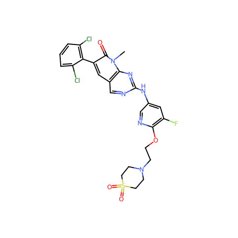 Cn1c(=O)c(-c2c(Cl)cccc2Cl)cc2cnc(Nc3cnc(OCCN4CCS(=O)(=O)CC4)c(F)c3)nc21